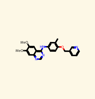 COc1cc2ncnc(Nc3ccc(OCc4cccnc4)c(C)c3)c2cc1OC